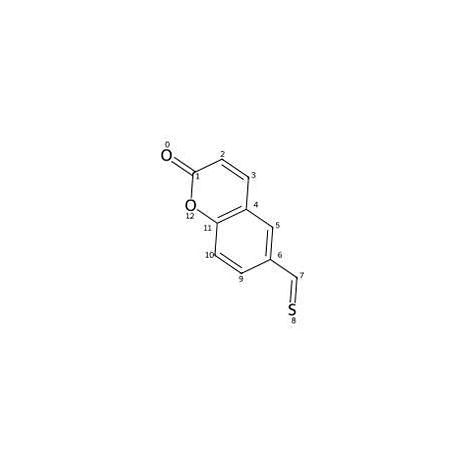 O=c1ccc2cc(C=S)ccc2o1